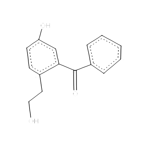 O=C(c1ccccc1)c1cc(O)ccc1CCO